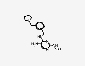 CCCCNc1ncc(N)c(NCc2cccc(CN3CCCC3)c2)n1